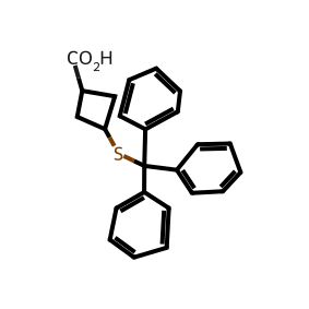 O=C(O)C1CC(SC(c2ccccc2)(c2ccccc2)c2ccccc2)C1